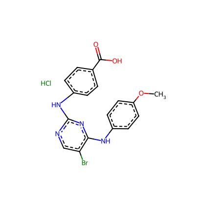 COc1ccc(Nc2nc(Nc3ccc(C(=O)O)cc3)ncc2Br)cc1.Cl